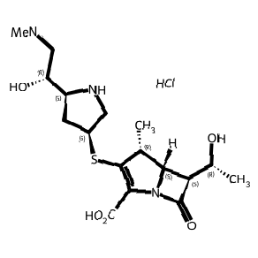 CNC[C@@H](O)[C@@H]1C[C@H](SC2=C(C(=O)O)N3C(=O)[C@H]([C@@H](C)O)[C@H]3[C@H]2C)CN1.Cl